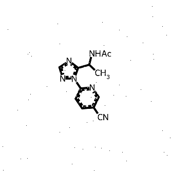 CC(=O)NC(C)c1ncnn1-c1ccc(C#N)cn1